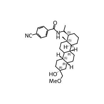 COC[C@@]1(O)CC[C@@H]2C3CC[C@]4(C)[C@@H](C(C)NC(=O)c5ccc(C#N)cc5)CCC[C@H]4[C@@H]3CC[C@@H]2C1